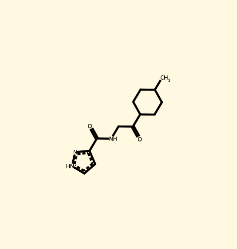 CC1CCC(C(=O)CNC(=O)c2cc[nH]n2)CC1